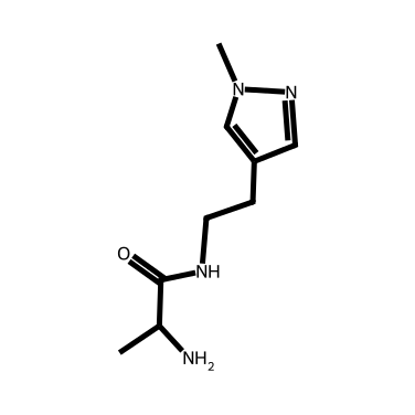 CC(N)C(=O)NCCc1cnn(C)c1